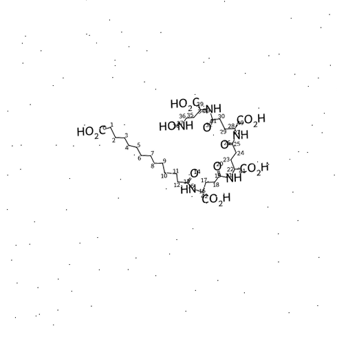 O=C(O)CCCCCCCCCCCCC(=O)N[C@@H](CCC(=O)N[C@@H](CCC(=O)N[C@@H](CCC(=O)N[C@@H](CCNO)C(=O)O)C(=O)O)C(=O)O)C(=O)O